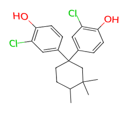 CC1CCC(c2ccc(O)c(Cl)c2)(c2ccc(O)c(Cl)c2)CC1(C)C